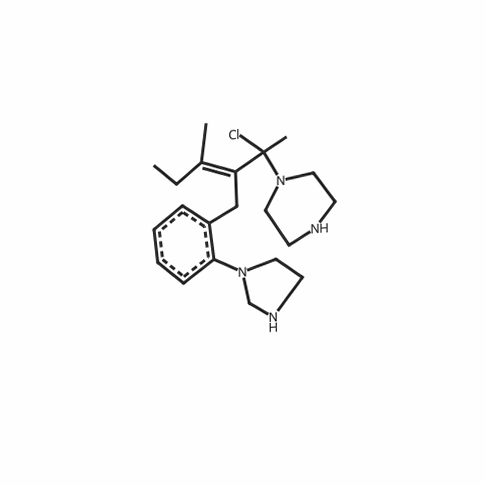 CCC(C)=C(Cc1ccccc1N1CCNC1)C(C)(Cl)N1CCNCC1